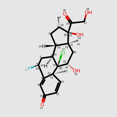 C[C@H]1C[C@H]2[C@@H]3C[C@H](F)C4=CC(=O)C=C[C@]4(C)[C@@]3(Cl)[C@@H](O)C[C@]2(C)[C@@]1(O)C(=O)CO